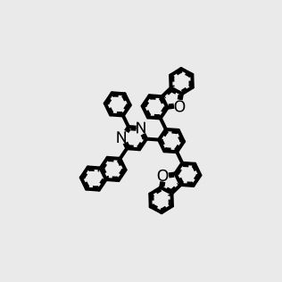 c1ccc(-c2nc(-c3ccc4ccccc4c3)cc(-c3cc(-c4cccc5c4oc4ccccc45)ccc3-c3cccc4c3oc3ccccc34)n2)cc1